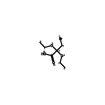 CCOC(CBr)(OCC)C(=O)O